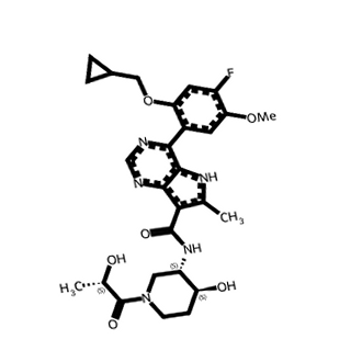 COc1cc(-c2ncnc3c(C(=O)N[C@H]4CN(C(=O)[C@H](C)O)CC[C@@H]4O)c(C)[nH]c23)c(OCC2CC2)cc1F